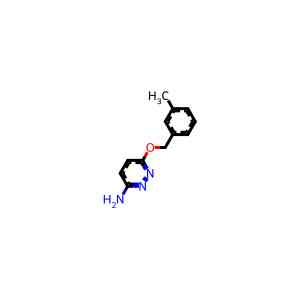 Cc1cccc(COc2ccc(N)nn2)c1